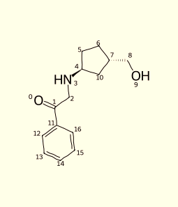 O=C(CN[C@H]1CC[C@H](CO)C1)c1ccccc1